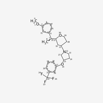 COc1cccc([C@H](C)C2CC(N3CCC(Oc4cccc(C(F)(F)F)c4)C3)CCO2)c1